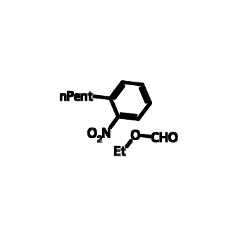 CCCCCc1ccccc1[N+](=O)[O-].CCOC=O